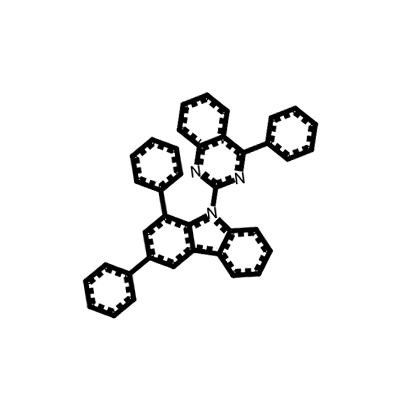 c1ccc(-c2cc(-c3ccccc3)c3c(c2)c2ccccc2n3-c2nc(-c3ccccc3)c3ccccc3n2)cc1